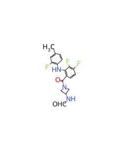 Cc1ccc(Nc2c(C(=O)N3CC(NC=O)C3)ccc(F)c2F)c(F)c1